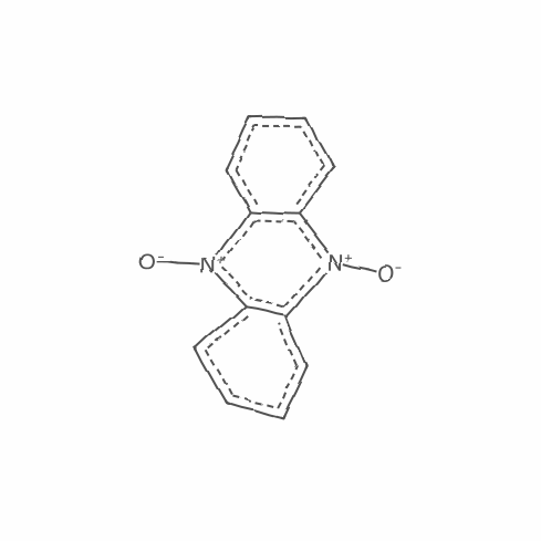 [O-][n+]1c2ccccc2[n+]([O-])c2ccccc21